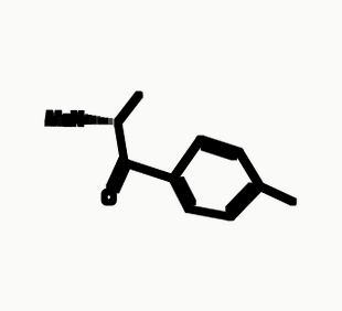 CN[C@H](C)C(=O)c1ccc(C)cc1